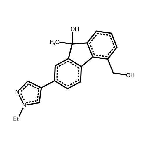 CCn1cc(-c2ccc3c(c2)C(O)(C(F)(F)F)c2cccc(CO)c2-3)cn1